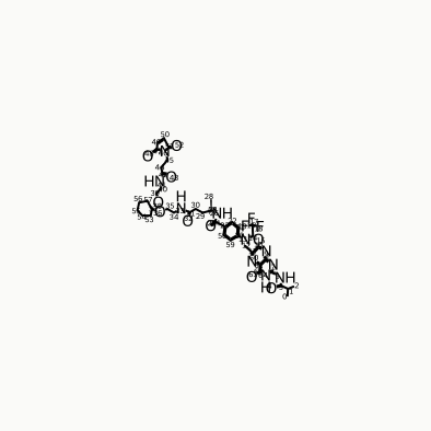 CC(C)C(=O)Nc1nc2ncc(CN(C(=O)C(F)(F)F)c3ccc(C(=O)N[C@H](C)CCC(=O)NCCOC4(OCCNC(=O)CCN5C(=O)C=CC5=O)CCCCC4)cc3)nc2c(=O)[nH]1